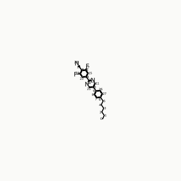 CCCCCCc1ccc(-c2cnc(-c3cc(F)c(C#N)c(F)c3)nc2)cc1